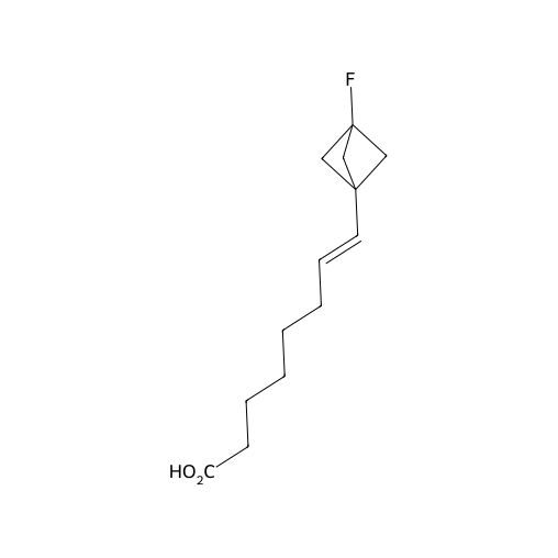 O=C(O)CCCCCC=CC12CC(F)(C1)C2